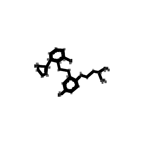 CN(C)CCOc1ccc(Br)cc1CCc1c(Cl)cccc1C1=NCCN1